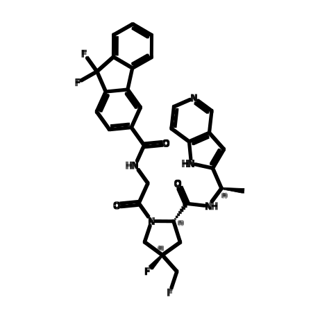 C[C@@H](NC(=O)[C@@H]1C[C@](F)(CF)CN1C(=O)CNC(=O)c1ccc2c(c1)-c1ccccc1C2(F)F)c1cc2cnccc2[nH]1